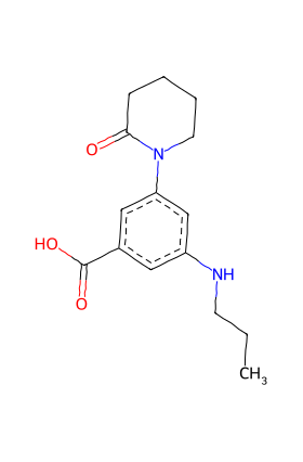 CCCNc1cc(C(=O)O)cc(N2CCCCC2=O)c1